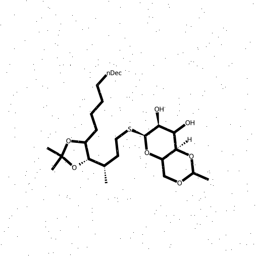 CCCCCCCCCCCCCCC1OC(C)(C)O[C@H]1[C@@H](C)CCS[C@@H]1OC2COC(C)O[C@@H]2C(O)[C@@H]1O